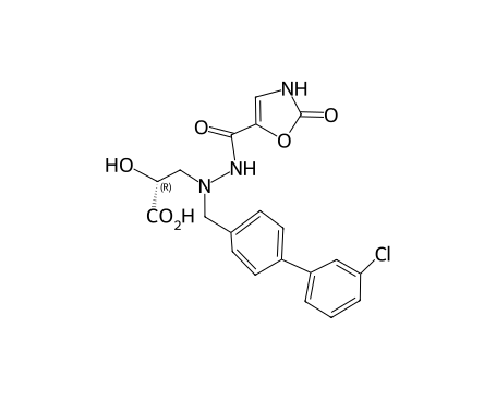 O=C(NN(Cc1ccc(-c2cccc(Cl)c2)cc1)C[C@@H](O)C(=O)O)c1c[nH]c(=O)o1